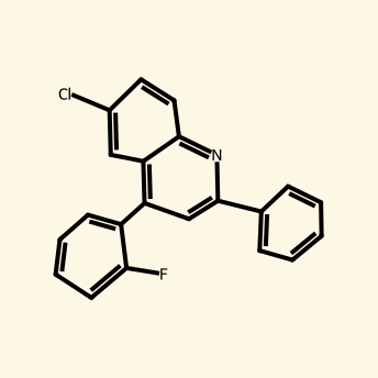 Fc1ccccc1-c1cc(-c2ccccc2)nc2ccc(Cl)cc12